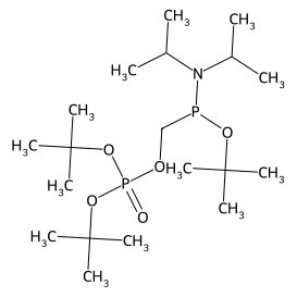 CC(C)N(C(C)C)P(COP(=O)(OC(C)(C)C)OC(C)(C)C)OC(C)(C)C